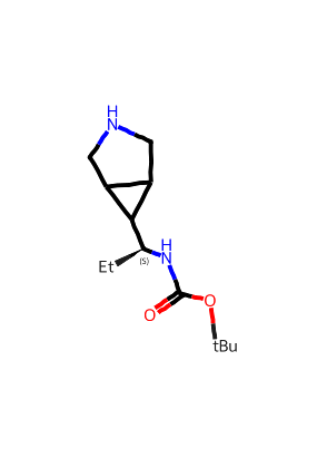 CC[C@H](NC(=O)OC(C)(C)C)C1C2CNCC21